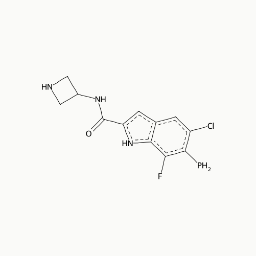 O=C(NC1CNC1)c1cc2cc(Cl)c(P)c(F)c2[nH]1